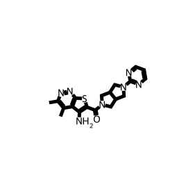 Cc1nnc2sc(C(=O)N3CC4CN(c5ncccn5)CC4C3)c(N)c2c1C